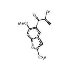 C=C(CC)C(=O)c1cc2cc(C(=O)O)oc2cc1OC